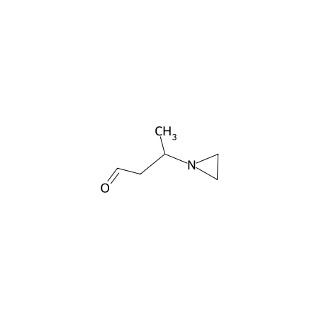 CC(CC=O)N1CC1